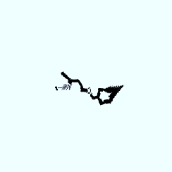 CC(=N)CCOCc1ccccc1